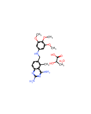 CC(O)C(=O)O.COc1cc(NCc2ccc3nc(N)nc(N)c3c2C)cc(OC)c1OC.O